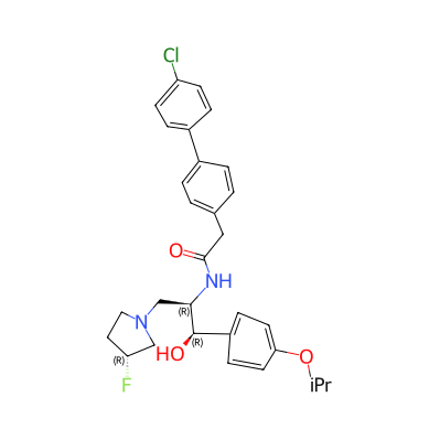 CC(C)Oc1ccc([C@@H](O)[C@@H](CN2CC[C@@H](F)C2)NC(=O)Cc2ccc(-c3ccc(Cl)cc3)cc2)cc1